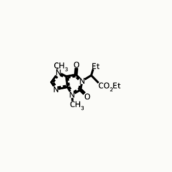 CCOC(=O)C(CC)n1c(=O)c2c(ncn2C)n(C)c1=O